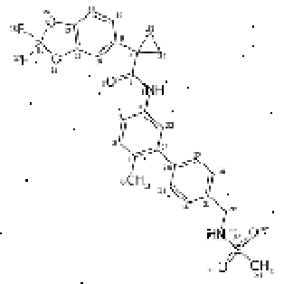 Cc1ccc(NC(=O)C2(c3ccc4c(c3)OC(F)(F)O4)CC2)cc1-c1ccc(CNS(C)(=O)=O)cc1